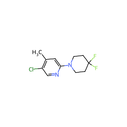 Cc1cc(N2CCC(F)(F)CC2)ncc1Cl